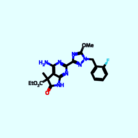 CCOC(=O)C1(C)C(=O)Nc2nc(-c3nc(OC)n(Cc4ccccc4F)n3)nc(N)c21